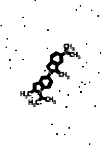 C=C1c2cc(N(C)C)ccc2CN1c1ccc2c(c1)cc(C)n2C(C)C